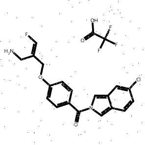 NC/C(=C\F)COc1ccc(C(=O)n2cc3ccc(Cl)cc3c2)cc1.O=C(O)C(F)(F)F